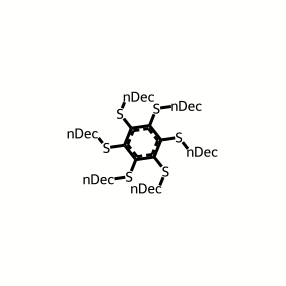 CCCCCCCCCCSc1c(SCCCCCCCCCC)c(SCCCCCCCCCC)c(SCCCCCCCCCC)c(SCCCCCCCCCC)c1SCCCCCCCCCC